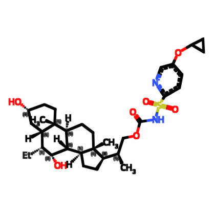 CC[C@H]1[C@@H](O)[C@@H]2[C@H](CC[C@]3(C)[C@@H]([C@H](C)COC(=O)NS(=O)(=O)c4ccc(OC5CC5)cn4)CC[C@@H]23)[C@@]2(C)CC[C@@H](O)C[C@@H]12